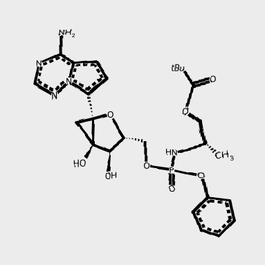 C[C@@H](COC(=O)C(C)(C)C)NP(=O)(OC[C@H]1O[C@]2(c3ccc4c(N)ncnn34)C[C@@]2(O)[C@@H]1O)Oc1ccccc1